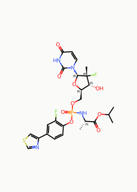 CC(C)OC(=O)[C@H](C)NP(=O)(OC[C@H]1O[C@@H](n2ccc(=O)[nH]c2=O)[C@](C)(F)[C@@H]1O)Oc1ccc(-c2cscn2)cc1F